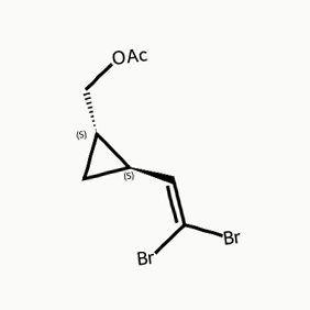 CC(=O)OC[C@H]1C[C@@H]1C=C(Br)Br